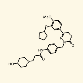 COc1ccc(C2=NN(Cc3ccc(NC(=O)CCN4CCC(O)CC4)cc3)C(=O)SC2)cc1OC1CCCC1